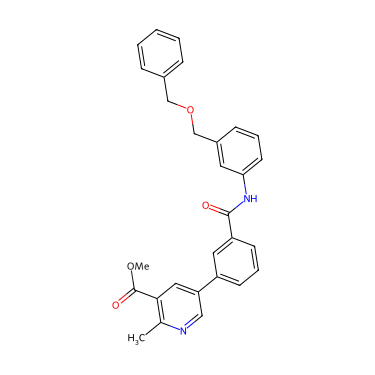 COC(=O)c1cc(-c2cccc(C(=O)Nc3cccc(COCc4ccccc4)c3)c2)cnc1C